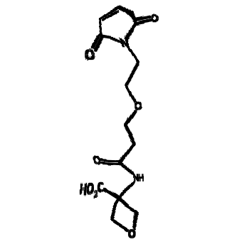 O=C(CCOCCN1C(=O)C=CC1=O)NC1(C(=O)O)COC1